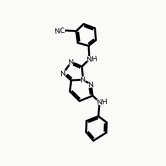 N#Cc1cccc(Nc2nnc3ccc(Nc4ccccc4)nn23)c1